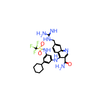 N=C(N)NCc1ccc2c(Nc3cc(NS(=O)(=O)C(F)(F)F)cc(C4CCCCC4)c3)c(C(N)=O)cnc2c1